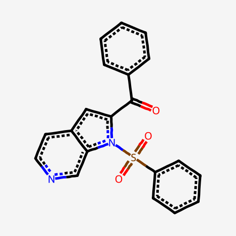 O=C(c1ccccc1)c1cc2ccncc2n1S(=O)(=O)c1ccccc1